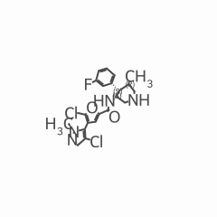 C[C@H]1CNC[C@@H](NC(=O)c2cc(-c3c(Cl)cnn3C)c(Cl)o2)[C@@H]1c1cccc(F)c1